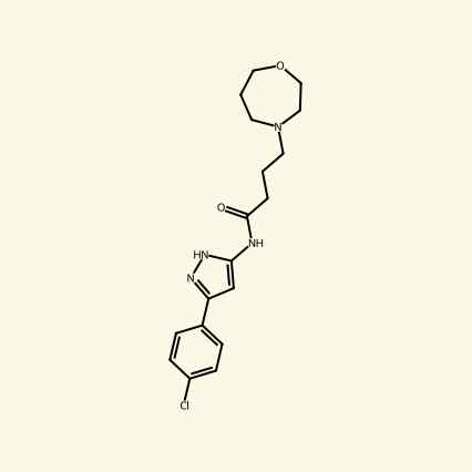 O=C(CCCN1CCCOCC1)Nc1cc(-c2ccc(Cl)cc2)n[nH]1